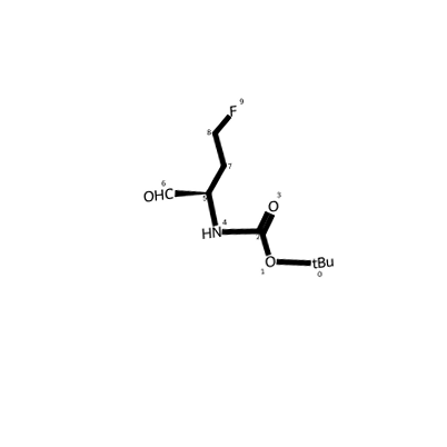 CC(C)(C)OC(=O)N[C@@H](C=O)CCF